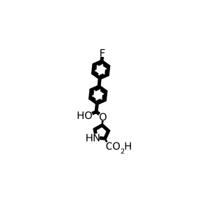 O=C(O)[C@@H]1C[C@H](OC(O)c2ccc(-c3ccc(F)cc3)cc2)CN1